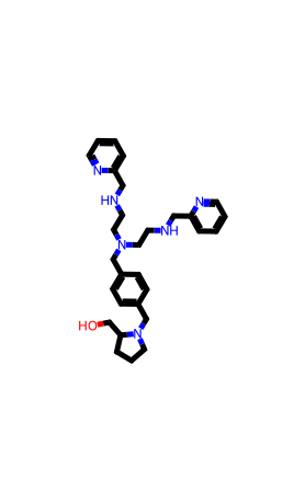 OCC1CCCN1Cc1ccc(CN(CCNCc2ccccn2)CCNCc2ccccn2)cc1